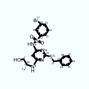 C[C@H](CO)Nc1cc(NS(=O)(=O)c2cccc(Br)c2)nc(SCc2ccccc2)n1